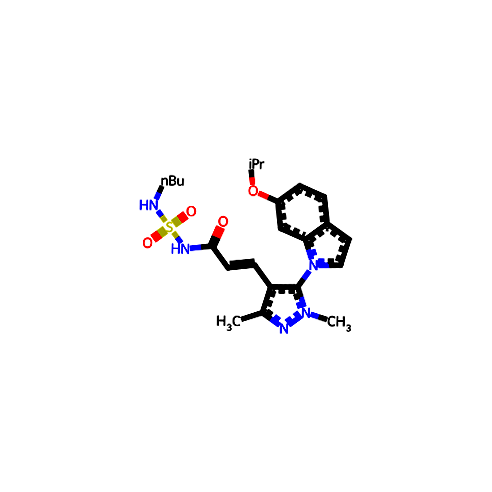 CCCCNS(=O)(=O)NC(=O)/C=C/c1c(C)nn(C)c1-n1ccc2ccc(OC(C)C)cc21